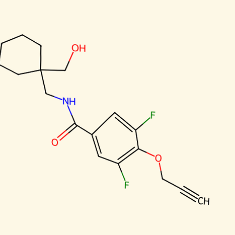 C#CCOc1c(F)cc(C(=O)NCC2(CO)CCCCC2)cc1F